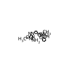 CCOc1nc(N)nc2c1ncn2[C@H]1C=C[C@@H](CO[P@@](=O)(N[C@@H](C)C(=O)O)Oc2ccccc2)C1